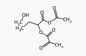 CCC(OC(=O)C(C)=O)C(=O)OC(C)=O.CO